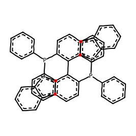 c1ccc(P(c2ccccc2)c2ccc3c(oc4ccccc43)c2-c2c(P(c3ccccc3)c3ccccc3)ccc3c2oc2ccccc23)cc1